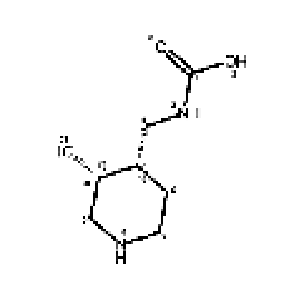 O=C(O)NC[C@@H]1CCNC[C@@H]1O